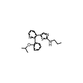 CCCNc1ncc(-c2cccnc2-c2ccccc2OC(C)C)s1